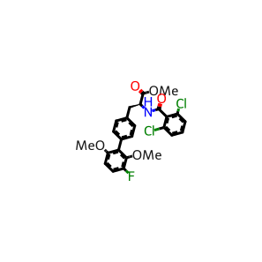 COC(=O)[C@H](Cc1ccc(-c2c(OC)ccc(F)c2OC)cc1)NC(=O)c1c(Cl)cccc1Cl